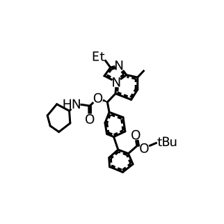 CCc1cn2c([C@H](OC(=O)NC3CCCCC3)c3ccc(-c4ccccc4C(=O)OC(C)(C)C)cc3)ccc(C)c2n1